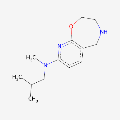 CC(C)CN(C)c1ccc2c(n1)OCCNC2